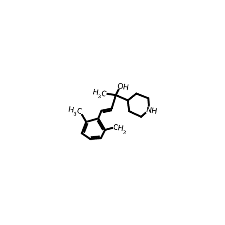 Cc1cccc(C)c1/C=C/C(C)(O)C1CCNCC1